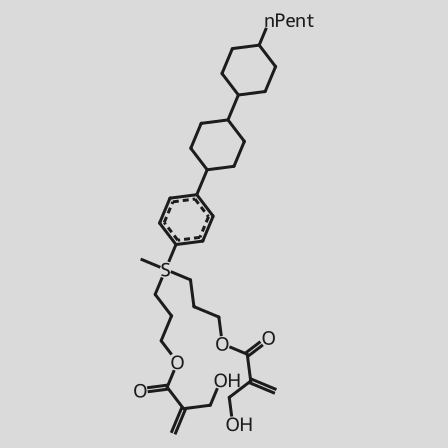 C=C(CO)C(=O)OCCCS(C)(CCCOC(=O)C(=C)CO)c1ccc(C2CCC(C3CCC(CCCCC)CC3)CC2)cc1